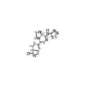 O=C1N=Cc2cc(-c3cnc(Nc4nncs4)c4nccn34)ccc21